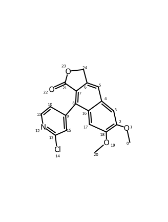 COc1cc2cc3c(c(-c4ccnc(Cl)c4)c2cc1OC)C(=O)OC3